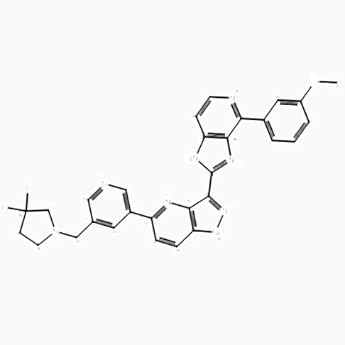 COc1cccc(-c2nccc3[nH]c(-c4n[nH]c5ccc(-c6cncc(CN7CCC(F)(F)C7)c6)nc45)nc23)c1